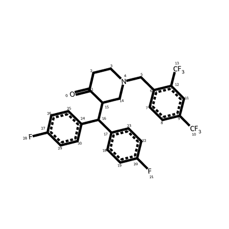 O=C1CCN(Cc2ccc(C(F)(F)F)cc2C(F)(F)F)CC1C(c1ccc(F)cc1)c1ccc(F)cc1